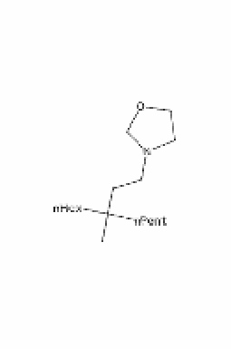 CCCCCCC(C)(CCCCC)CCN1CCOC1